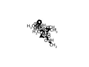 C=CCNC(=O)C(=O)[C@H](CC1CC1)NC(=O)[C@@H]1C2[C@H](CN1C(=O)[C@@H](NC(=O)NC1(CS(=O)(=O)C(C)(C)C)CCCCC1)C(C)(C)C)C2(C)C